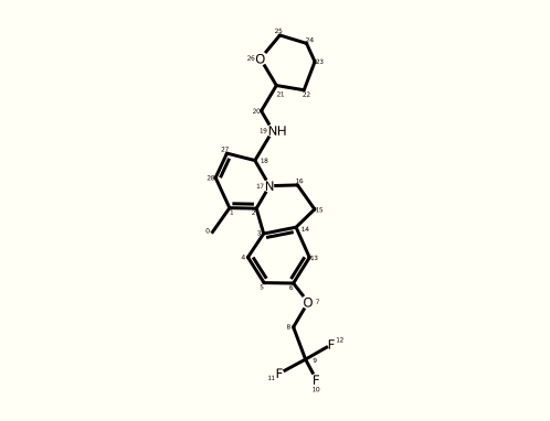 CC1=C2c3ccc(OCC(F)(F)F)cc3CCN2C(NCC2CCCCO2)C=C1